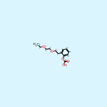 CCOCCOCCc1ccccc1OC(=O)O